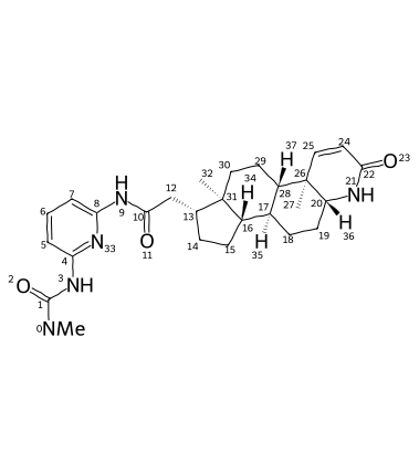 CNC(=O)Nc1cccc(NC(=O)C[C@H]2CC[C@H]3[C@@H]4CC[C@H]5NC(=O)C=C[C@]5(C)[C@H]4CC[C@]23C)n1